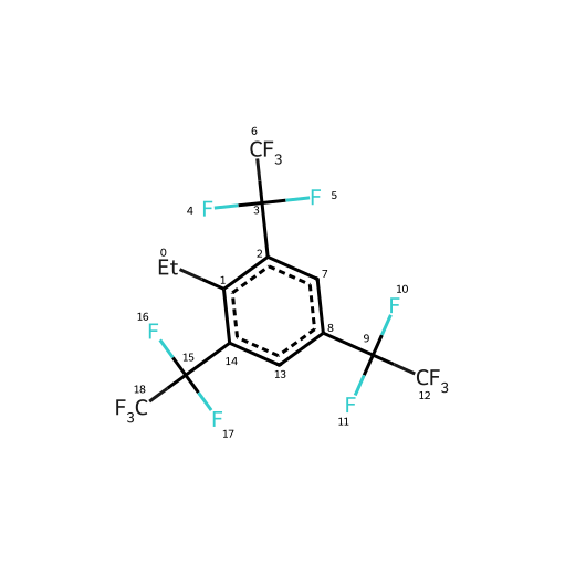 [CH2]Cc1c(C(F)(F)C(F)(F)F)cc(C(F)(F)C(F)(F)F)cc1C(F)(F)C(F)(F)F